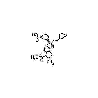 COC(=O)N1c2ccc3c(nc(CCC4CCOC4)n3[C@@H]3CCC[C@@H](C(=O)O)C3)c2CCC1C